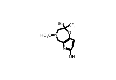 CC(C)(C)C1(C(F)(F)F)CN(C(=O)O)Cc2nc(O)ccc2O1